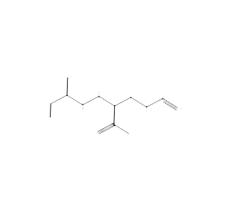 [Li][CH2]C(C)CCC(CCC=C)C(=C)C